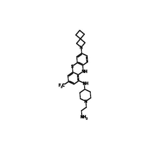 NCCN1CCC(Nc2cc(C(F)(F)F)cc3c2Nc2ccc(N4CC5(CCC5)C4)cc2S3)CC1